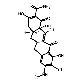 CCCc1c(NCC)cc2c(c1O)C(=O)C1=C(O)[C@]3(O)C(=O)C(C(N)=O)=C(O)C[C@@H]3CC1C2